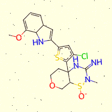 COC1=CC=CC2C=C(c3cc(Cl)c(C45CCOCC4[S+]([O-])N(C)C(=N)N5)s3)NC12